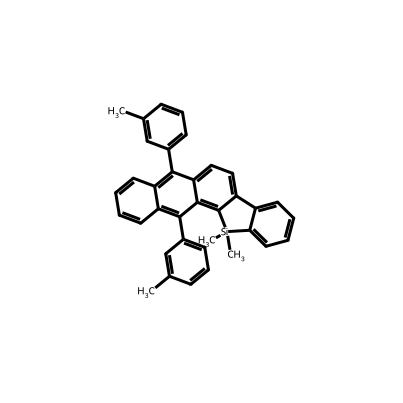 Cc1cccc(-c2c3ccccc3c(-c3cccc(C)c3)c3c4c(ccc23)-c2ccccc2[Si]4(C)C)c1